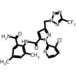 Cc1cc(C)c(NC(=O)c2cc(Cn3nnc(C(F)(F)F)n3)nn2-c2ncccc2Cl)c(C(N)=O)c1